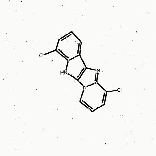 Clc1cccc2c1[nH]c1c2nc2c(Cl)cccn21